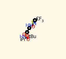 CC(C)C(NS(=O)(=O)c1ccc(-c2ccc(NC(=O)c3nc4cc(C(F)(F)F)ccc4s3)cc2)cc1)C(=O)OC(C)(C)C